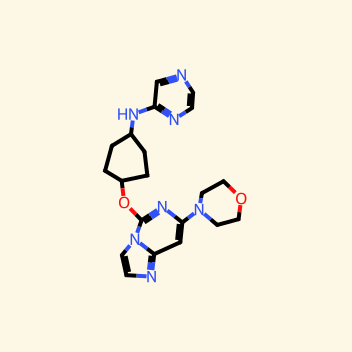 c1cnc(NC2CCC(Oc3nc(N4CCOCC4)cc4nccn34)CC2)cn1